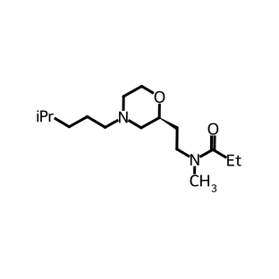 CCC(=O)N(C)CC[C@H]1CN(CCCC(C)C)CCO1